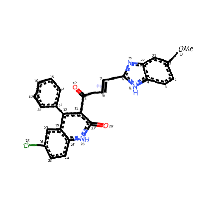 COc1ccc2[nH]c(/C=C/C(=O)c3c(-c4ccccc4)c4cc(Cl)ccc4[nH]c3=O)nc2c1